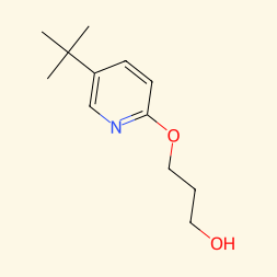 CC(C)(C)c1ccc(OCCCO)nc1